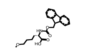 COCCCC[C@H](NC(=O)OCC1c2ccccc2-c2ccccc21)C(=O)O